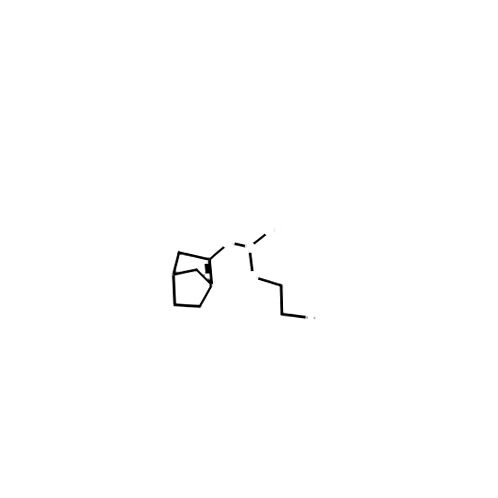 OCCOB(O)OC1=C2CCC(C2)C1